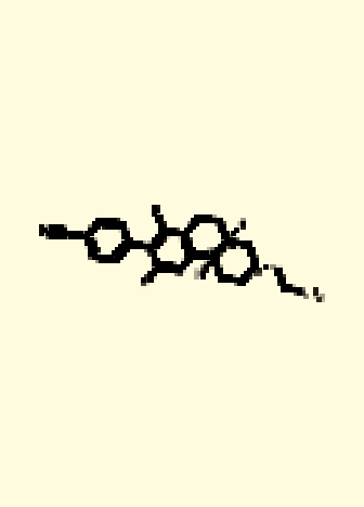 CCC[C@@H]1CC[C@@H]2c3cc(F)c(-c4ccc(C#N)cc4)c(F)c3CC[C@H]2C1